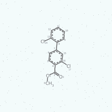 COC(=O)c1ccc(-c2ccccc2Cl)cc1Cl